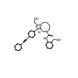 O=C(Nc1ccccc1CO)N1CCCCN2[C@H](CO)[C@H](c3ccc(C#Cc4ccccc4)cc3)[C@@H]2C1